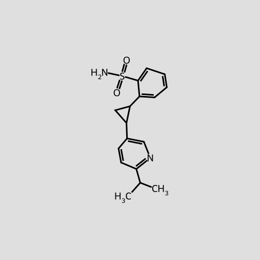 CC(C)c1ccc(C2CC2c2ccccc2S(N)(=O)=O)cn1